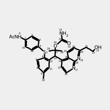 CC(=O)Nc1ccc(Sc2ccc(C)cc2C(c2ccnc3nc(CCO)ccc23)C(C)(C)OC(N)=O)cc1